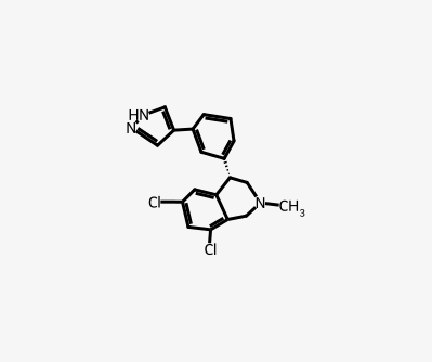 CN1Cc2c(Cl)cc(Cl)cc2[C@H](c2cccc(-c3cn[nH]c3)c2)C1